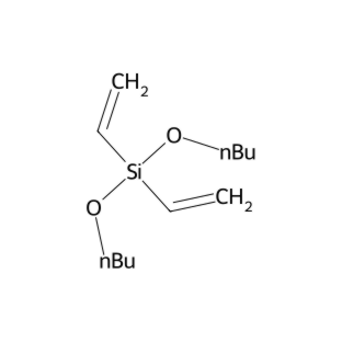 C=C[Si](C=C)(OCCCC)OCCCC